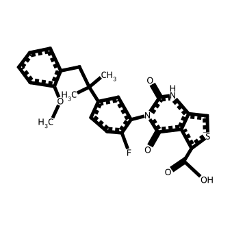 COc1ccccc1CC(C)(C)c1ccc(F)c(-n2c(=O)[nH]c3csc(C(=O)O)c3c2=O)c1